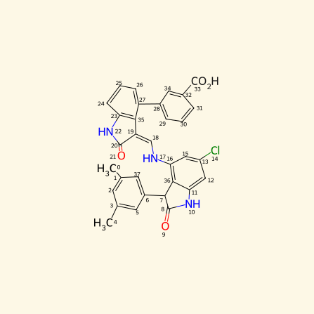 Cc1cc(C)cc(C2C(=O)Nc3cc(Cl)cc(NC=C4C(=O)Nc5cccc(-c6cccc(C(=O)O)c6)c54)c32)c1